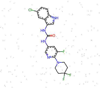 O=C(Nc1cnc(N2CCC(F)(F)CC2)c(F)c1)Nc1c[nH]c2ccc(Cl)cc12